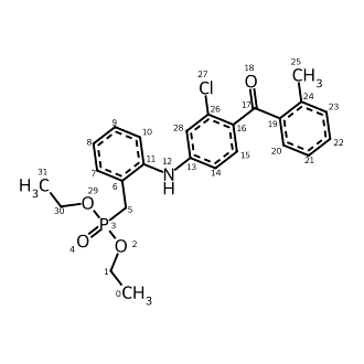 CCOP(=O)(Cc1ccccc1Nc1ccc(C(=O)c2ccccc2C)c(Cl)c1)OCC